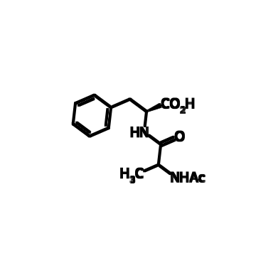 CC(=O)NC(C)C(=O)N[C@@H](Cc1ccccc1)C(=O)O